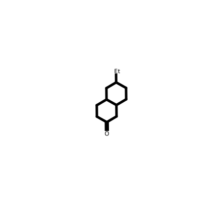 CCC1CCC2CC(=O)CCC2C1